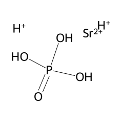 O=P(O)(O)O.[H+].[H+].[Sr+2]